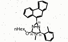 CCCCCCO[C@@H]1N(C)[C@H](c2ccccc2C)N2[C@H](c3cc4ccccc4c4ccccc34)N12